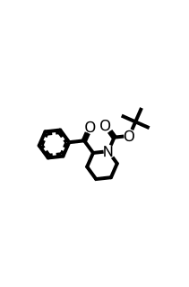 CC(C)(C)OC(=O)N1CCCCC1C(=O)c1ccccc1